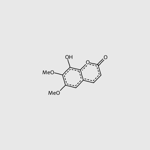 COc1cc2ccc(=O)oc2c(O)c1OC